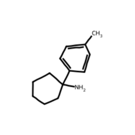 Cc1ccc(C2(N)CCCCC2)cc1